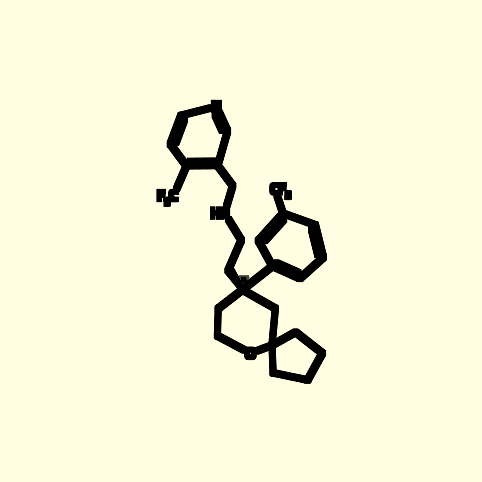 FC(F)(F)c1cccc([C@@]2(CCNCc3cnccc3C(F)(F)F)CCOC3(CCCC3)C2)c1